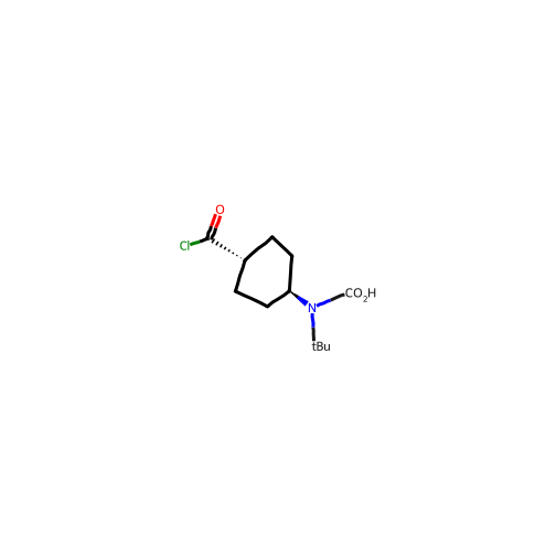 CC(C)(C)N(C(=O)O)[C@H]1CC[C@H](C(=O)Cl)CC1